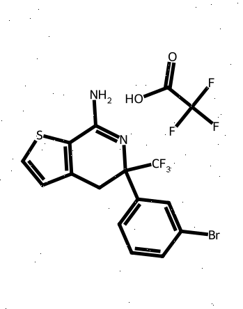 NC1=NC(c2cccc(Br)c2)(C(F)(F)F)Cc2ccsc21.O=C(O)C(F)(F)F